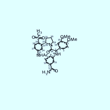 COc1ccc([C@H](Nc2cccc(C(N)=O)c2)C(=O)N2CCC[C@@H]2c2cc(NC(C)=O)ccc2S(C)(=O)=O)cc1OC